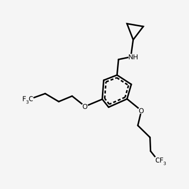 FC(F)(F)CCCOc1cc(CNC2CC2)cc(OCCCC(F)(F)F)c1